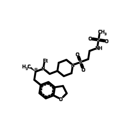 CCN(CC1CCN(S(=O)(=O)CCNS(C)(=O)=O)CC1)[C@@H](C)Cc1ccc2c(c1)CCO2